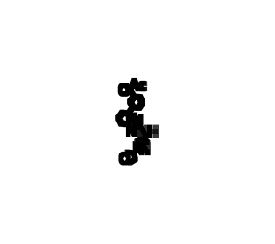 CC(=O)C(=O)c1cccc(-c2cccc3nc(Nc4cnn(C5CCOC5)c4)nn23)c1